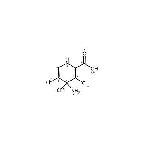 NC1(Cl)C(Cl)=CNC(C(=O)O)=C1Cl